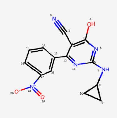 N#Cc1c(O)nc(NC2CC2)nc1-c1cccc([N+](=O)[O-])c1